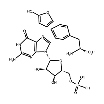 N[C@@H](Cc1ccccc1)C(=O)O.Nc1nc2c(ncn2[C@@H]2O[C@H](COP(=O)(O)O)[C@@H](O)[C@H]2O)c(=O)[nH]1.Oc1ccco1